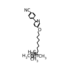 C[Si](C)(C)O[Si](C)(C)CCCCCCCCOc1ccc(-c2ccc(C#N)cc2)nc1